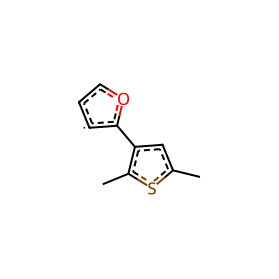 Cc1cc(-c2[c]cco2)c(C)s1